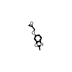 Cc1nc2ccc(OCC3CO3)cc2o1